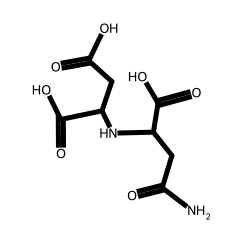 NC(=O)CC(NC(CC(=O)O)C(=O)O)C(=O)O